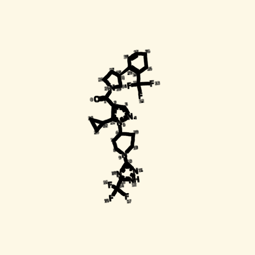 O=C(c1cnn(C2CCN(c3n[nH]c(C(F)(F)F)n3)CC2)c1C1CC1)N1CC[C@@H](C2=C(C(F)(F)F)CCC=C2)C1